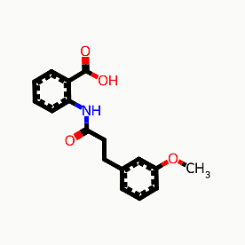 COc1cccc(CCC(=O)Nc2ccccc2C(=O)O)c1